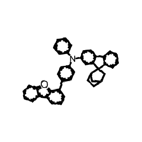 c1ccc(N(c2ccc(-c3cccc4c3oc3ccccc34)cc2)c2ccc3c(c2)C2(CC4CCC2C4)c2ccccc2-3)cc1